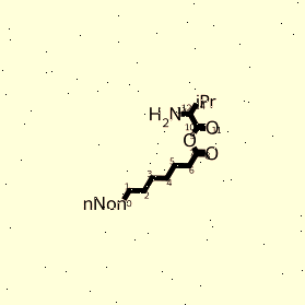 CCCCCCCCCCCCCCCC(=O)OC(=O)C(N)C(C)C